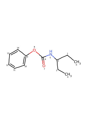 CCC(CC)NC(=O)Oc1ccccc1